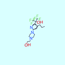 CCCc1cc(N2CCN(CCO)CC2)ncc1C(O)(C(F)(F)F)C(F)(F)F